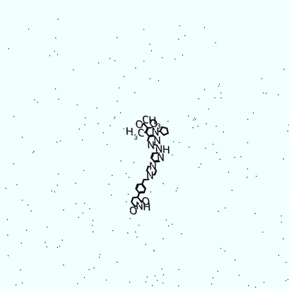 CC(=O)c1c(C)c2cnc(Nc3ccc(N4CCN(CCc5ccc(C6CCC(=O)NC6=O)cc5)CC4)cn3)nc2n(C2CCCC2)c1=O